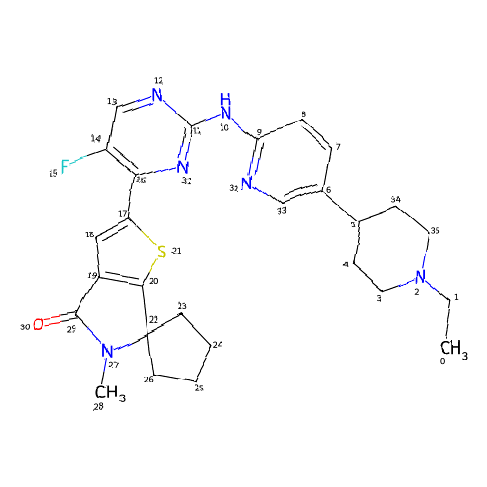 CCN1CCC(c2ccc(Nc3ncc(F)c(-c4cc5c(s4)C4(CCCC4)N(C)C5=O)n3)nc2)CC1